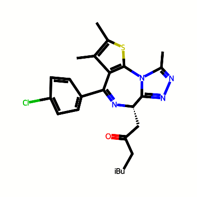 CCC(C)CC(=O)C[C@@H]1N=C(c2ccc(Cl)cc2)c2c(sc(C)c2C)-n2c(C)nnc21